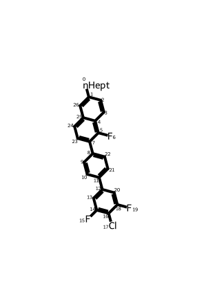 CCCCCCCc1ccc2c(F)c(-c3ccc(-c4cc(F)c(Cl)c(F)c4)cc3)ccc2c1